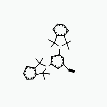 CC1(C)c2ccccc2C(C)(C)N1c1cc(C#N)cc(N2C(C)(C)c3ccccc3C2(C)C)c1